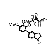 CCCNC(=O)C(C)(C)COc1c(-c2ccc3c(c2)CCC3=O)ccc(OC)c1OC